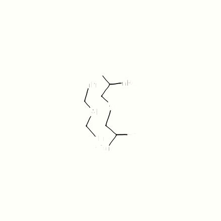 CC(C)[CH2][Al][CH2]C(C)C.CCCCC(CC)COCC(CC)CCCC